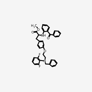 COC(=O)C(Cc1ccc(OCCN(Cc2ccccc2)c2c(F)cccc2F)cc1)Nc1ccccc1C(=O)c1ccccc1